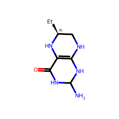 CC[C@H]1CNC2=C(N1)C(=O)NC(N)N2